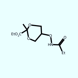 CCOC(=O)C1(C)OCC(ONC(=O)CC)CO1